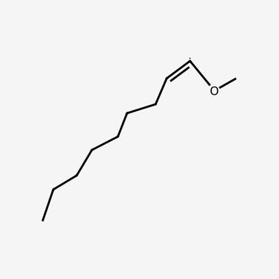 CCCCCCC/C=[C]\OC